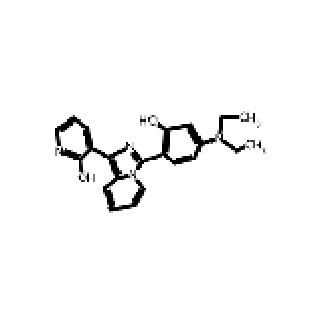 CCN(CC)c1ccc(-c2nc(-c3cccnc3O)c3ccccn23)c(O)c1